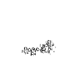 COc1cc(Nc2nc(N)c3scc(-c4cccc(NC(=O)Nc5ccc(Cl)c(C)c5)c4)c3n2)cc(OC)c1OC